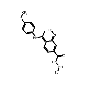 CC/N=C1/C=C(C(=O)NNCC)C=C/C1=C(/C)Nc1ccc(OC(F)(F)F)cc1